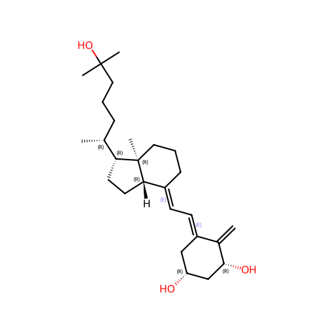 C=C1/C(=C/C=C2\CCC[C@]3(C)[C@@H]([C@H](C)CCCC(C)(C)O)CC[C@@H]23)C[C@@H](O)C[C@H]1O